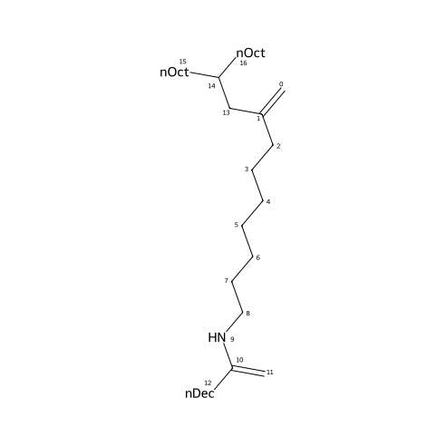 C=C(CCCCCCCNC(=C)CCCCCCCCCC)CC(CCCCCCCC)CCCCCCCC